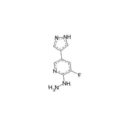 NNc1ncc(-c2cn[nH]c2)cc1F